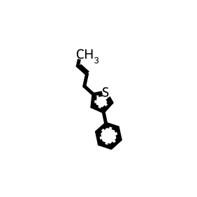 CC=CCc1cc(-c2ccccc2)cs1